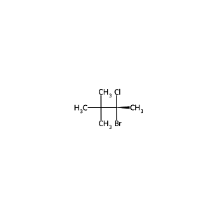 CC(C)(C)[C@](C)(Cl)Br